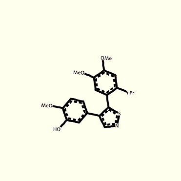 CCCc1cc(OC)c(OC)cc1-c1sncc1-c1ccc(OC)c(O)c1